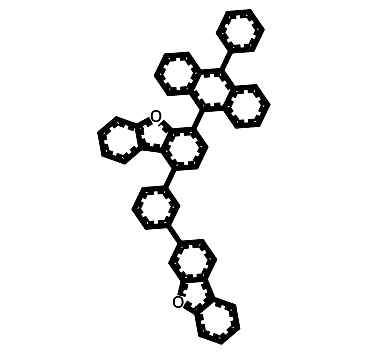 c1ccc(-c2c3ccccc3c(-c3ccc(-c4cccc(-c5ccc6c(c5)oc5ccccc56)c4)c4c3oc3ccccc34)c3ccccc23)cc1